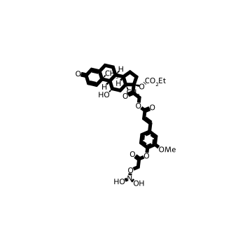 CCOC(=O)O[C@]1(C(=O)COC(=O)/C=C/c2ccc(OC(=O)CON(O)O)c(OC)c2)CC[C@H]2[C@@H]3CCC4=CC(=O)C=C[C@]4(C)[C@H]3[C@@H](O)C[C@@]21C